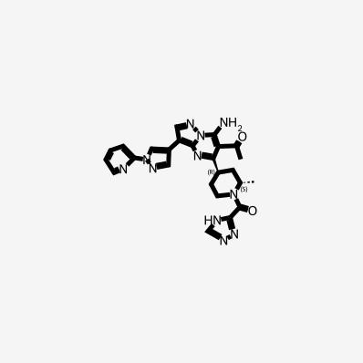 CC(=O)c1c([C@@H]2CCN(C(=O)c3nnc[nH]3)[C@@H](C)C2)nc2c(-c3cnn(-c4ccccn4)c3)cnn2c1N